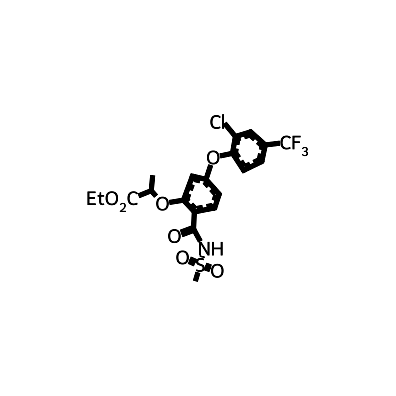 CCOC(=O)C(C)Oc1cc(Oc2ccc(C(F)(F)F)cc2Cl)ccc1C(=O)NS(C)(=O)=O